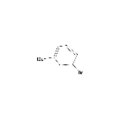 CC(C)(C)C1=CC=C[C](Br)C1